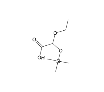 CCOC(O[Si](C)(C)C)C(=O)O